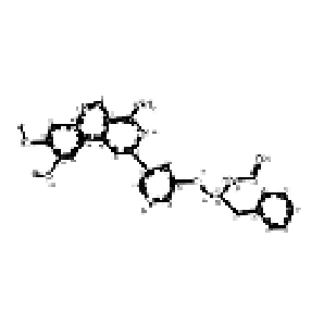 COc1cc2ncc3c(N)nc(-c4cncc(OC[C@@H](Cc5ccccc5)NC=O)c4)cc3c2cc1OC